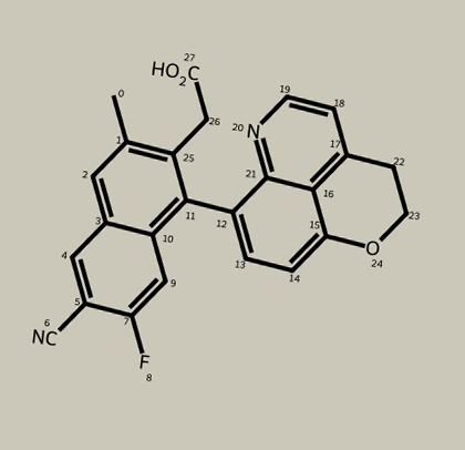 Cc1cc2cc(C#N)c(F)cc2c(-c2ccc3c4c(ccnc24)CCO3)c1CC(=O)O